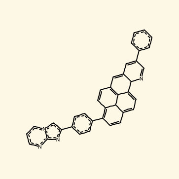 C1=CC(c2ccc(-c3cn4cccnc4n3)cc2)=C2C=CC3=C4C(=CC=C1C24)C1N=CC(c2ccccc2)=CC1=C3